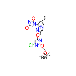 CN1C(=O)CN(c2cc(C3CC3)cn3cc(COc4cc(Cl)nc(OCCO[Si](C)(C)C(C)(C)C)n4)nc23)C1=O